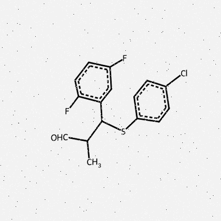 CC(C=O)C(Sc1ccc(Cl)cc1)c1cc(F)ccc1F